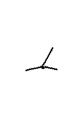 CCCCCCCCCCCCCCCCCCCc1n(CCCCCCCCCCCCCCC)cc[n+]1CCCCCCCCCCCC